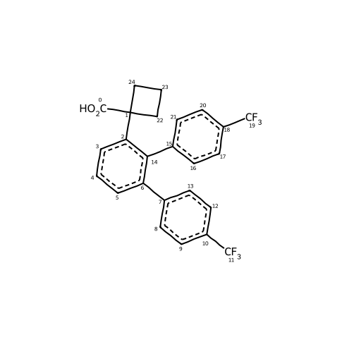 O=C(O)C1(c2cccc(-c3ccc(C(F)(F)F)cc3)c2-c2ccc(C(F)(F)F)cc2)CCC1